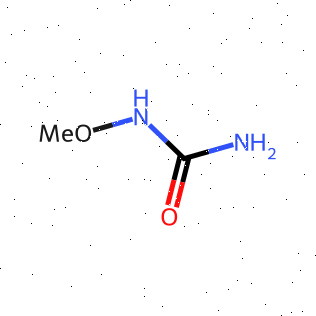 CONC(N)=O